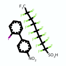 O=S(=O)(O)C(F)(F)C(F)(F)C(F)(F)C(F)(F)C(F)(F)C(F)(F)C(F)(F)C(F)(F)F.O=[N+]([O-])c1ccc(-c2ccccc2I)cc1